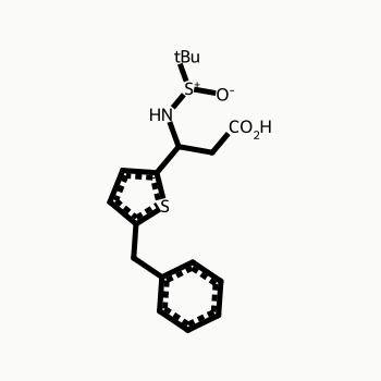 CC(C)(C)[S+]([O-])NC(CC(=O)O)c1ccc(Cc2ccccc2)s1